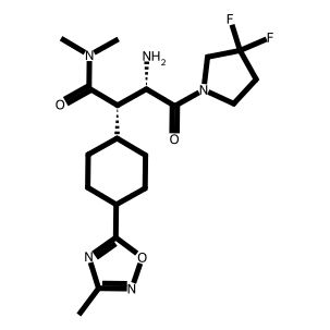 Cc1noc(C2CCC([C@H](C(=O)N(C)C)[C@H](N)C(=O)N3CCC(F)(F)C3)CC2)n1